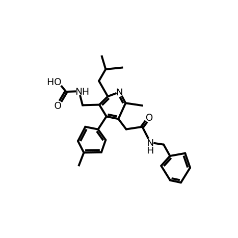 Cc1ccc(-c2c(CC(=O)NCc3ccccc3)c(C)nc(CC(C)C)c2CNC(=O)O)cc1